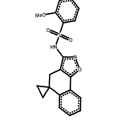 COc1ccccc1S(=O)(=O)Nc1noc2c1CC1(CC1)c1ccccc1-2